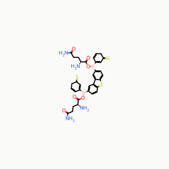 NC(=O)CC[C@H](N)C(=O)OB(C1=CC(=S)CC=C1)c1ccc2sc3ccc(B(OC(=O)[C@@H](N)CCC(N)=O)C4=CC(=S)CC=C4)cc3c2c1